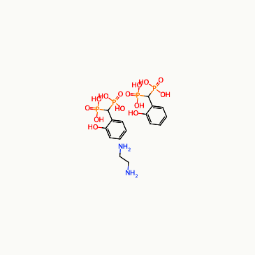 NCCN.O=P(O)(O)C(c1ccccc1O)P(=O)(O)O.O=P(O)(O)C(c1ccccc1O)P(=O)(O)O